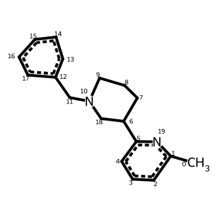 Cc1cccc(C2CCCN(Cc3ccccc3)C2)n1